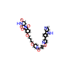 O=C1CCC(N2C(=O)c3ccc(OCCCCCOC4CCN(C(=O)[C@H]5C[C@H](Oc6ccc(-c7ccc8c(c7)[nH]c7ccncc78)cn6)C5)CC4)cc3C2=O)C(=O)N1